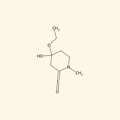 CCOC1(O)CCN(C)C(=C=O)C1